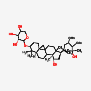 COC(C[C@@H](C)[C@H]1C[C@H](O)[C@@]2(C)C3CC[C@H]4C(C)(C)C(O[C@@H]5OCC(O)C(O)[C@H]5O)CCC45CC35CCC12C)C(OC(C)=O)C(C)(C)O